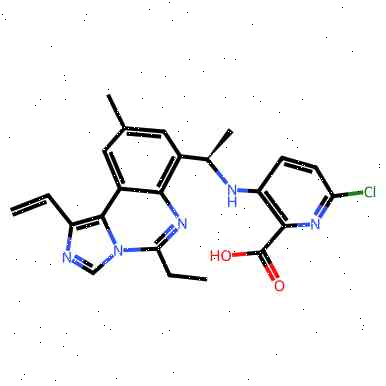 C=Cc1ncn2c(CC)nc3c([C@@H](C)Nc4ccc(Cl)nc4C(=O)O)cc(C)cc3c12